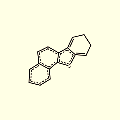 C1=c2sc3c(ccc4ccccc43)c2=CCC1